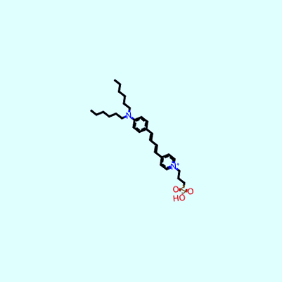 CCCCCCN(CCCCCC)c1ccc(/C=C/C=C/c2cc[n+](CCCS(=O)(=O)O)cc2)cc1